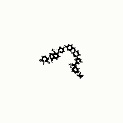 COc1c(N2CCC(OC3CCC(CN4CCN(c5cc(-c6[nH]nc7ccc(OC8(C)CC8)cc67)ncn5)CC4)CC3)CC2)ccc2c1CN(C1CCC(=O)NC1=O)C2=O